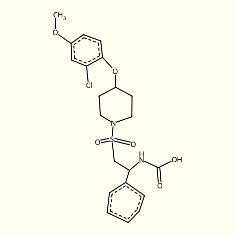 COc1ccc(OC2CCN(S(=O)(=O)CC(NC(=O)O)c3ccccc3)CC2)c(Cl)c1